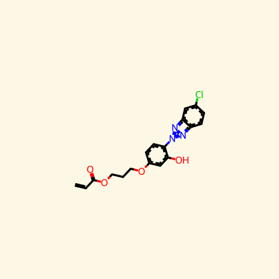 C=CC(=O)OCCCOc1ccc(-n2n3c4ccc(Cl)cc4n23)c(O)c1